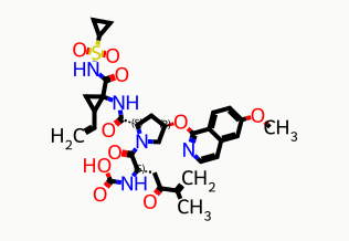 C=CC1CC1(NC(=O)[C@@H]1C[C@@H](Oc2nccc3cc(OC)ccc23)CN1C(=O)[C@H](CC(=O)C(=C)C)NC(=O)O)C(=O)NS(=O)(=O)C1CC1